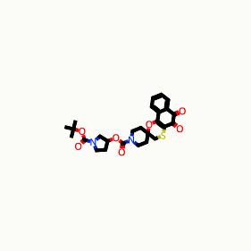 CC(C)(C)OC(=O)N1CCC(OC(=O)N2CCC3(CC2)CSC2=C(O3)c3ccccc3C(=O)C2=O)C1